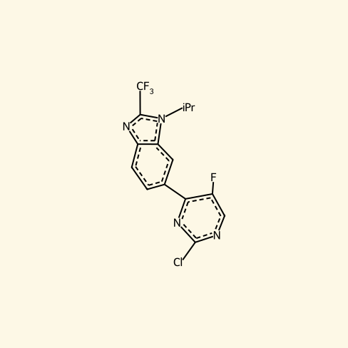 CC(C)n1c(C(F)(F)F)nc2ccc(-c3nc(Cl)ncc3F)cc21